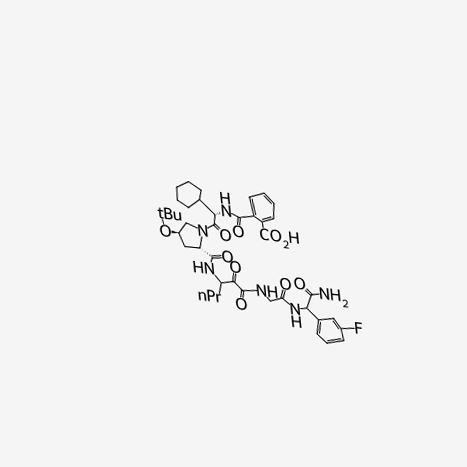 CCCC(NC(=O)[C@@H]1C[C@@H](OC(C)(C)C)CN1C(=O)[C@@H](NC(=O)c1ccccc1C(=O)O)C1CCCCC1)C(=O)C(=O)NCC(=O)NC(C(N)=O)c1cccc(F)c1